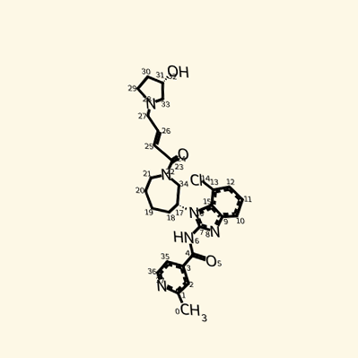 Cc1cc(C(=O)Nc2nc3cccc(Cl)c3n2[C@@H]2CCCCN(C(=O)C=CCN3CC[C@H](O)C3)C2)ccn1